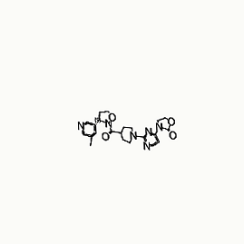 Cc1cncc([C@@H]2CCON2C(=O)C2CCN(c3nccc(N4CCOC4=O)n3)CC2)c1